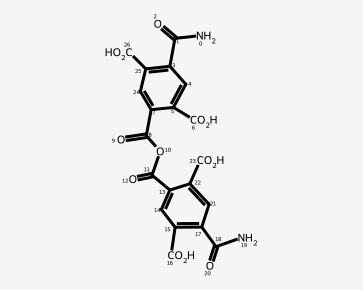 NC(=O)c1cc(C(=O)O)c(C(=O)OC(=O)c2cc(C(=O)O)c(C(N)=O)cc2C(=O)O)cc1C(=O)O